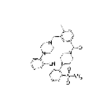 Cc1cc(C)c(C(=O)N2CCN(c3ccccc3S(N)(=O)=O)CC2)cc1CN1CCN(c2ccccc2C#N)CC1